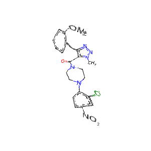 COc1ccccc1-c1nnn(C)c1C(=O)N1CCN(c2ccc([N+](=O)[O-])cc2Cl)CC1